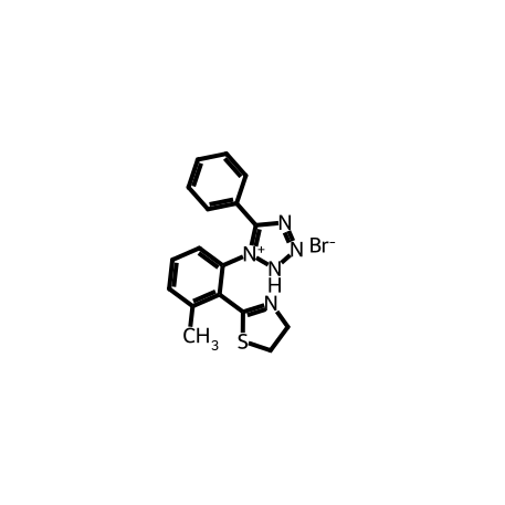 Cc1cccc(-[n+]2[nH]nnc2-c2ccccc2)c1C1=NCCS1.[Br-]